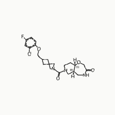 O=C1CO[C@H]2CCN(C(=O)N3CC4(CC(COc5ccc(F)cc5Cl)C4)C3)C[C@H]2CN1